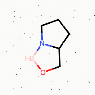 B1OCC2CCCN12